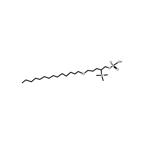 CCCCCCCCCCCCCCOCCCC(COP(=O)([O-])O)[N+](C)(C)C